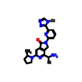 CC[C@H](N)c1nc(N2CCC[C@H]2C)cc2c1CN(c1cccc(-c3nncn3CC)n1)C2=O